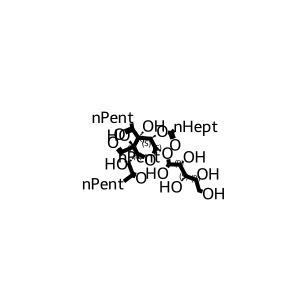 CCCCCCCC(=O)O[C@@H]1[C@H](OC(O)[C@H](O)[C@@H](O)[C@H](O)CO)O[C@H](C(O)C(=O)CCCCC)[C@](O)(C(=O)CCCCC)[C@@]1(O)C(=O)CCCCC